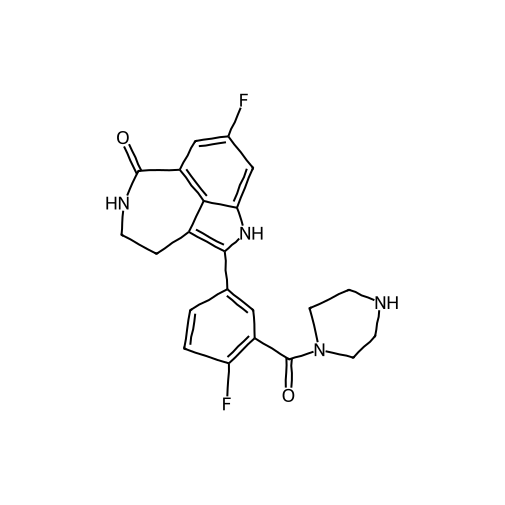 O=C1NCCc2c(-c3ccc(F)c(C(=O)N4CCNCC4)c3)[nH]c3cc(F)cc1c23